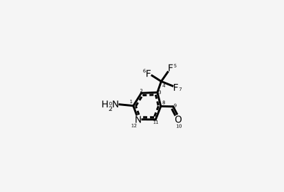 Nc1cc(C(F)(F)F)c(C=O)cn1